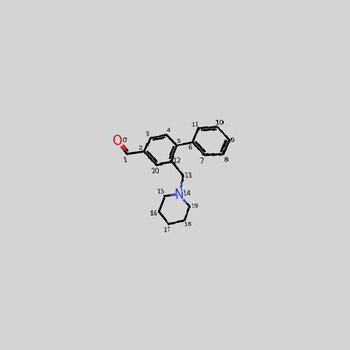 O=Cc1ccc(-c2ccccc2)c(CN2CCCCC2)c1